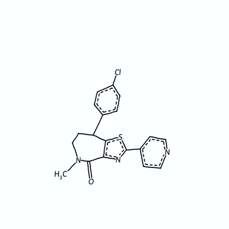 CN1CCC(c2ccc(Cl)cc2)c2sc(-c3ccncc3)nc2C1=O